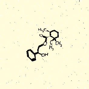 C[C@H]1CCCC(C)(C)[C@@H]1C(=O)OC[C@@H](O)c1ccccc1